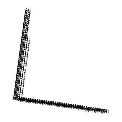 [Ag].[Ag].[Ag].[Ag].[Ag].[Ag].[Ag].[Ag].[Ag].[Ag].[Ag].[Ag].[Ag].[Ag].[Ag].[Ag].[Ag].[Ag].[Ag].[Ag].[Ag].[Ag].[Ag].[Ag].[Ag].[Ag].[Ag].[Ag].[Ag].[Ag].[AlH3].[AlH3].[AlH3].[AlH3].[AlH3].[AlH3].[AlH3].[AlH3].[AlH3].[AlH3].[AlH3].[AlH3].[AlH3].[AlH3].[AlH3].[AlH3].[AlH3].[AlH3].[AlH3].[AlH3].[AlH3].[AlH3].[AlH3].[AlH3].[AlH3].[AlH3].[AlH3].[AlH3].[AlH3].[AlH3].[AlH3].[AlH3].[AlH3].[AlH3].[AlH3].[AlH3].[AlH3].[AlH3].[AlH3].[AlH3].[AlH3].[AlH3].[AlH3].[AlH3].[AlH3].[AlH3].[AlH3].[AlH3].[AlH3].[AlH3].[AlH3].[AlH3].[AlH3].[AlH3].[AlH3].[AlH3].[AlH3].[AlH3].[AlH3].[AlH3].[AlH3].[AlH3].[AlH3].[AlH3].[AlH3].[AlH3].[AlH3].[AlH3].[AlH3].[AlH3]